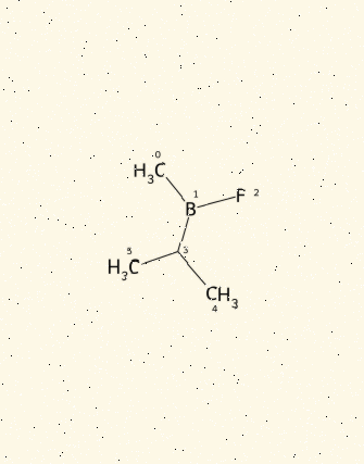 CB(F)C(C)C